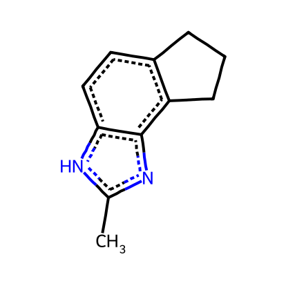 Cc1nc2c3c(ccc2[nH]1)CCC3